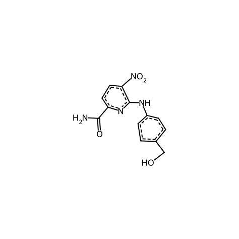 NC(=O)c1ccc([N+](=O)[O-])c(Nc2ccc(CO)cc2)n1